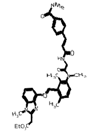 CCOC(=O)Cc1nc2c(OCc3c(C)ccc(N(C)C(=O)CNC(=O)/C=C/c4ccc(C(=O)NC)cc4)c3C)cccc2n1C